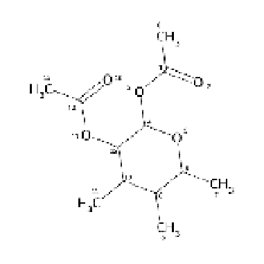 CC(=O)OC1OC(C)C(C)C(C)C1OC(C)=O